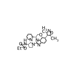 CCS(=O)(=O)N[C@@H]1CCN(c2nc3ccc(-c4c(C)noc4C)c4c3n2[C@@H](c2ccccn2)CO4)C1